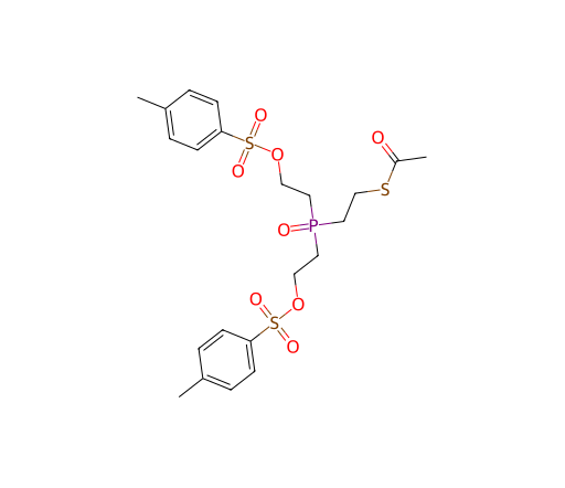 CC(=O)SCCP(=O)(CCOS(=O)(=O)c1ccc(C)cc1)CCOS(=O)(=O)c1ccc(C)cc1